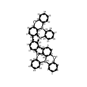 c1ccc2c(c1)Oc1ccc3c4c(ccc5c6ccc7c8c6n(c54)-c4ccccc4B8c4ccccc4O7)n4c3c1B2c1ccccc1-4